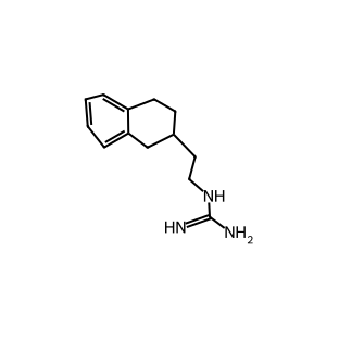 N=C(N)NCCC1CCc2ccccc2C1